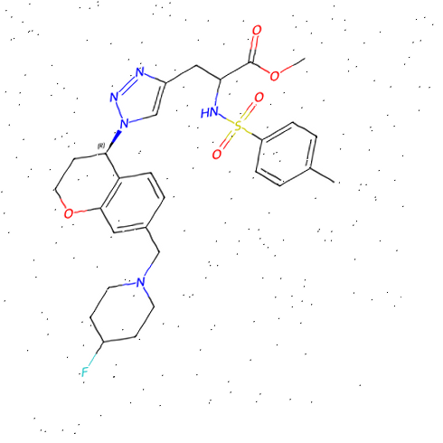 COC(=O)C(Cc1cn([C@@H]2CCOc3cc(CN4CCC(F)CC4)ccc32)nn1)NS(=O)(=O)c1ccc(C)cc1